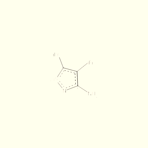 CC(C)c1onc(N)c1C(C)C